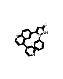 O=c1cc(-c2ccc3nccc(-c4ccncc4)c3c2)n(-c2ccccc2)[nH]1